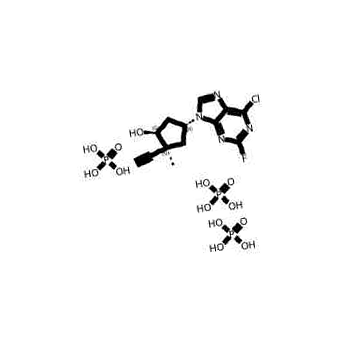 C#C[C@]1(C)C[C@@H](n2cnc3c(Cl)nc(F)nc32)C[C@@H]1O.O=P(O)(O)O.O=P(O)(O)O.O=P(O)(O)O